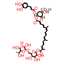 CC(=C/C=C/C=C(C)/C=C/C=C(\C)C(=O)OC1OC(COC(OC(CO)[C@H](C)O)C(O)O)C(O)C(O)C1O)/C=C/C=C1\O[C@H]2C[C@](O)(C(=O)O)C[C@@H](OC(=O)/C=C/c3ccc(O)c(O)c3)[C@@H]2OC1=O